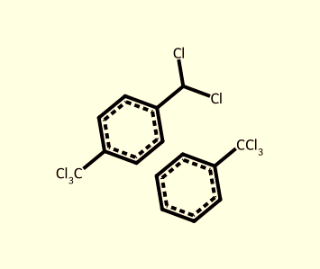 ClC(Cl)(Cl)c1ccccc1.ClC(Cl)c1ccc(C(Cl)(Cl)Cl)cc1